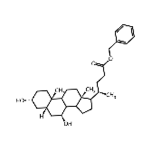 C[C@H](CCC(=O)OCc1ccccc1)C1CCC2C3C(CC[C@@]21C)[C@@]1(C)CC[C@@H](O)C[C@H]1C[C@@H]3O